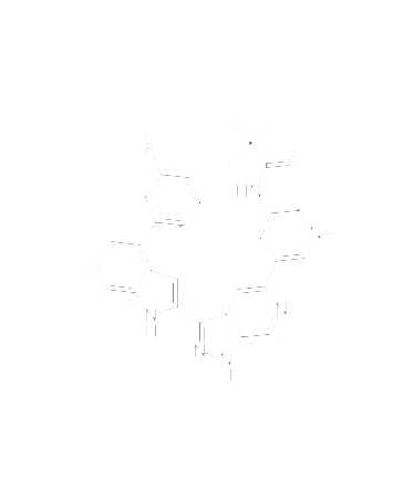 CC(C)(C)C(=O)Nc1cncc(-c2cc3c(-c4cc5c(-c6cccc(F)c6)cccc5[nH]4)n[nH]c3cn2)c1